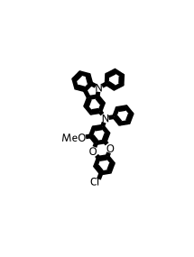 COc1cc(N(c2ccccc2)c2ccc3c4ccccc4n(-c4ccccc4)c3c2)cc2c1Oc1cc(Cl)ccc1O2